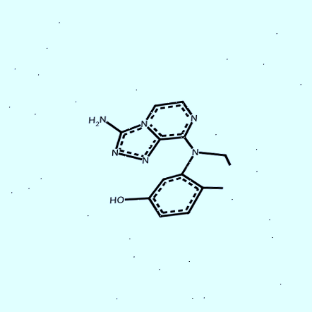 CCN(c1cc(O)ccc1C)c1nccn2c(N)nnc12